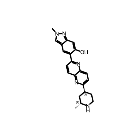 C[C@@H]1C[C@@H](c2ccc3nc(-c4cc5cn(C)nc5cc4O)ccc3n2)CCN1